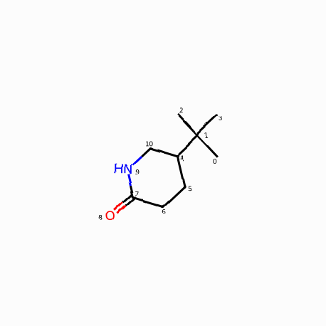 CC(C)(C)C1CCC(=O)NC1